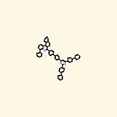 c1ccc(-c2ccc(-c3cc(-c4ccc(-c5ccc(-c6nc7c(-c8ccccc8)cccc7c7c6ccc6ccccc67)cc5)cc4)nc(-c4ccc(-c5ccccc5)cc4)n3)cc2)cc1